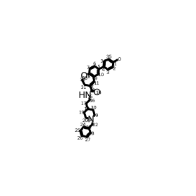 Cc1ccc(-c2ccc3c(c2)C=C(C(=O)NCCC2CCN(Cc4ccccc4)CC2)CCO3)cc1